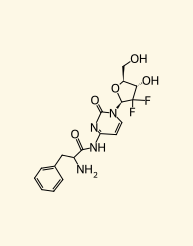 NC(Cc1ccccc1)C(=O)Nc1ccn([C@H]2O[C@@H](CO)[C@H](O)C2(F)F)c(=O)n1